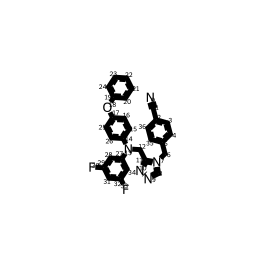 N#Cc1ccc(Cn2cnnc2CN(c2ccc(Oc3ccccc3)cc2)c2cc(F)cc(F)c2)cc1